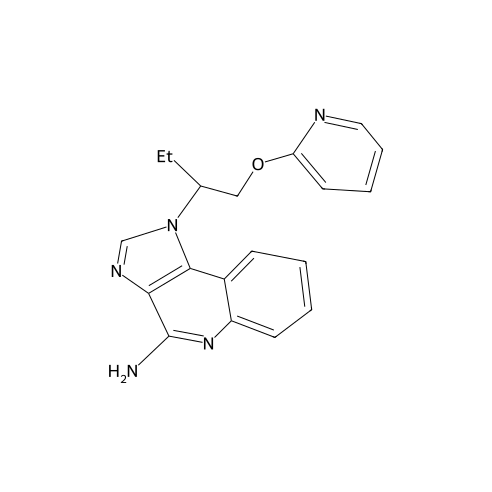 CCC(COc1ccccn1)n1cnc2c(N)nc3ccccc3c21